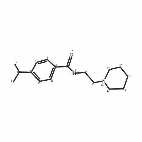 CC(C)c1ccc(C(=O)NCCN2CCCCC2)cc1